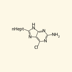 CCCCCCCc1nc2c(Cl)nc(N)nc2[nH]1